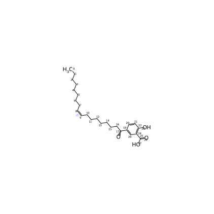 CCCCCCCC/C=C\CCCCCCCC(=O)c1ccc(O)c(C(=O)O)c1